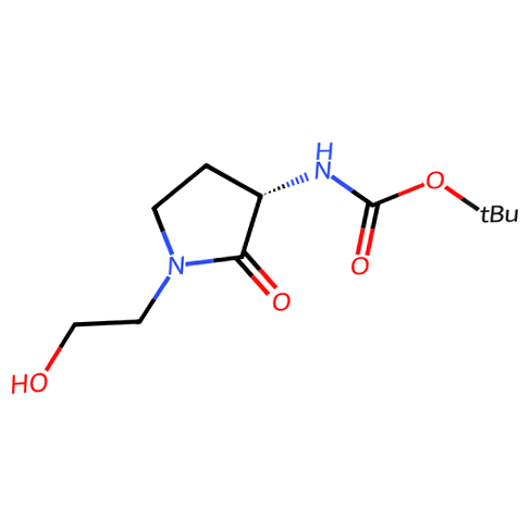 CC(C)(C)OC(=O)N[C@H]1CCN(CCO)C1=O